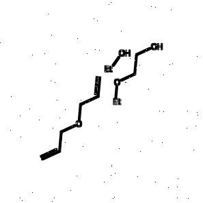 C=CCOCC=C.CCO.CCOCCO